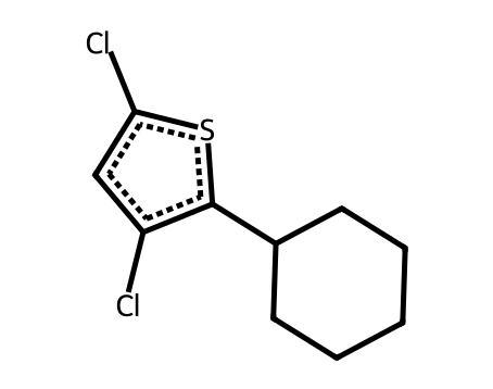 Clc1cc(Cl)c(C2CCCCC2)s1